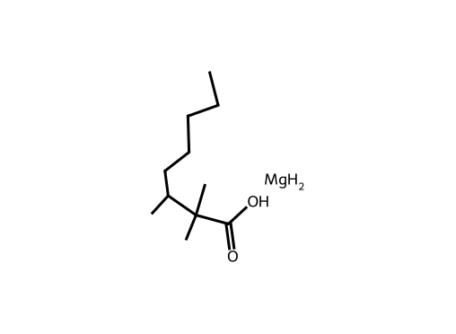 CCCCCC(C)C(C)(C)C(=O)O.[MgH2]